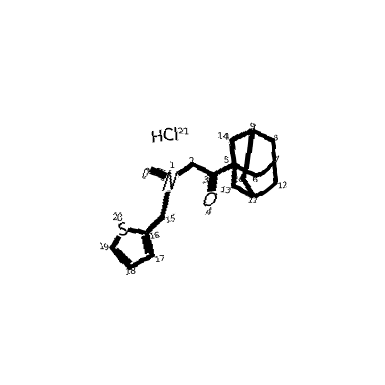 CN(CC(=O)C12CC3CC(CC(C3)C1)C2)Cc1cccs1.Cl